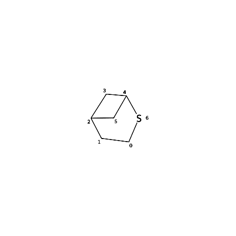 C1CC2CC(C2)S1